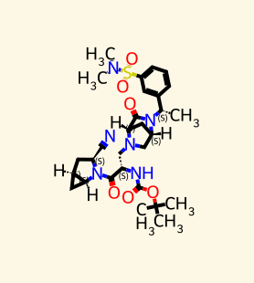 C[C@@H](c1cccc(S(=O)(=O)N(C)C)c1)N1C(=O)[C@@H]2C[C@H]1CN2C[C@H](NC(=O)OC(C)(C)C)C(=O)N1[C@H](C#N)C[C@@H]2C[C@@H]21